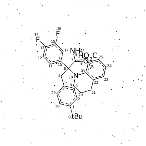 CC(C)(C)c1ccc(CC(C(N)=O)(c2ccc(F)c(F)c2)N2CCCc3cccc(C(=O)O)c32)cc1